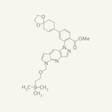 COC(=O)c1ccc(C2=CCC3(CC2)OCCO3)cc1-n1ncc2nc3c(ccn3COCC[Si](C)(C)C)cc21